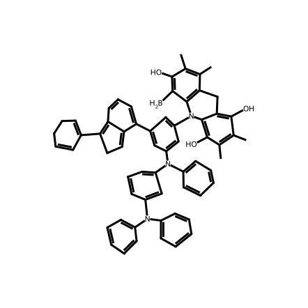 Bc1c(O)c(C)c(C)c2c1N(c1cc(-c3cccc4c3=CCC=4C3=CCCC=C3)cc(N(c3ccccc3)c3cccc(N(c4ccccc4)c4ccccc4)c3)c1)c1c(O)c(C)c(C)c(O)c1C2